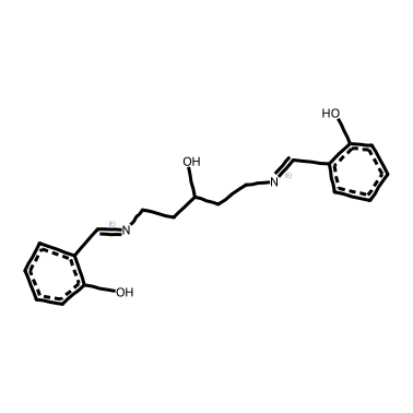 Oc1ccccc1/C=N/CCC(O)CC/N=C/c1ccccc1O